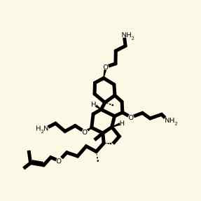 CC(C)=CCOCCC[C@@H](C)[C@H]1CC[C@H]2C3C(OCCCN)CC4C[C@H](OCCCN)CC[C@]4(C)[C@H]3C[C@H](OCCCN)C12C